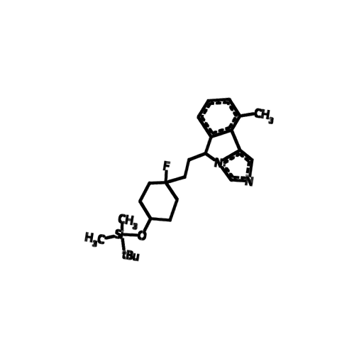 Cc1cccc2c1-c1cncn1C2CCC1(F)CCC(O[Si](C)(C)C(C)(C)C)CC1